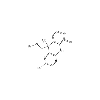 CC(C)OCC1(C(F)(F)F)c2cc(C#N)ccc2Nc2c1cc[nH]c2=O